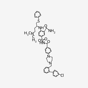 CN(C)CCC(CSc1ccccc1)Nc1ccc(S(=O)(=O)NC(=O)c2ccc(N3CCN(Cc4ccccc4-c4ccc(Cl)cc4)CC3)cc2)cc1C(N)=O